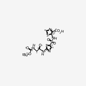 CC(C)(C)OC(=O)NCC(=O)Nc1ncc(S(=O)(=O)Nc2scnc2C(=O)O)s1